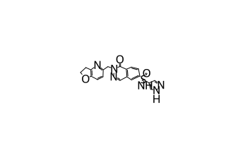 N=S(=O)(c1cn[nH]c1)c1ccc2c(=O)n(Cc3ccc4c(n3)CCO4)ncc2c1